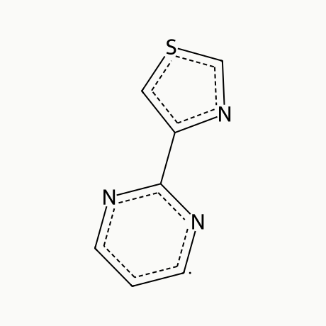 [c]1ccnc(-c2cscn2)n1